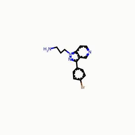 NCCCn1nc(-c2ccc(Br)cc2)c2cnccc21